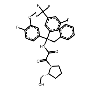 COc1cc([C@@](Cc2ccccc2)(NC(=O)C(=O)N2CCC[C@@H]2CO)c2cc(F)cc(C(F)(F)F)c2)ccc1F